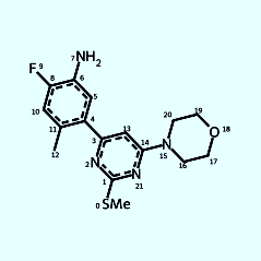 CSc1nc(-c2cc(N)c(F)cc2C)cc(N2CCOCC2)n1